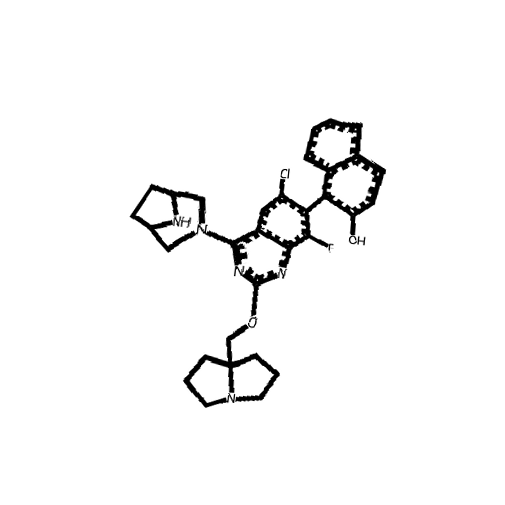 Oc1ccc2ccccc2c1-c1c(Cl)cc2c(N3CC4CCC(C3)N4)nc(OCC34CCCN3CCC4)nc2c1F